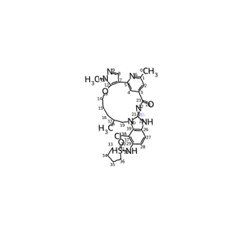 Cc1cc2cc(n1)-c1cnn(C)c1OCCCC(C)CN1/C(=N/C2=O)Nc2ccc(N[SH]3(=O)CCCC3)c(Cl)c21